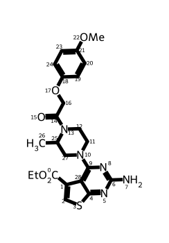 CCOC(=O)c1csc2nc(N)nc(N3CCN(C(=O)COc4ccc(OC)cc4)C(C)C3)c12